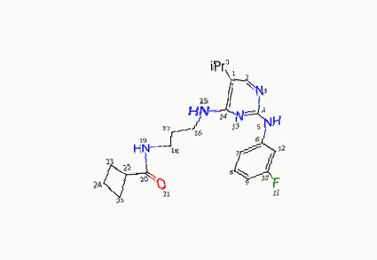 CC(C)c1cnc(Nc2cccc(F)c2)nc1NCCCNC(=O)C1CCC1